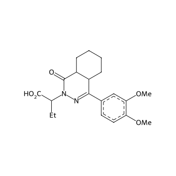 CCC(C(=O)O)N1N=C(c2ccc(OC)c(OC)c2)C2CCCCC2C1=O